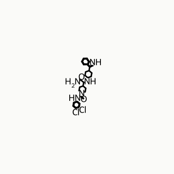 NC(=O)C(NC1CCC(c2c[nH]c3ccccc23)CC1)C1CCN(C(=O)Nc2ccc(Cl)c(Cl)c2)CC1